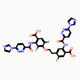 O=C(Nc1cc(CCOc2c(F)cc(C(=O)O)c(NC(=O)c3ccc(-n4ccnc4)nn3)c2F)c(F)cc1C(=O)O)c1ccc(-n2ccnc2)nn1